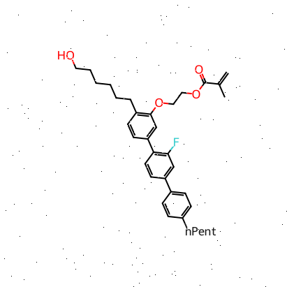 C=C(C)C(=O)OCCOc1cc(-c2ccc(-c3ccc(CCCCC)cc3)cc2F)ccc1CCCCCCO